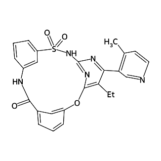 CCc1c2nc(nc1-c1cnccc1C)NS(=O)(=O)c1cccc(c1)NC(=O)c1cccc(c1)O2